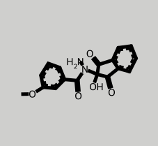 COc1cccc(C(=O)N(N)C2(O)C(=O)c3ccccc3C2=O)c1